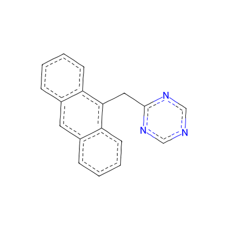 c1ccc2c(Cc3ncncn3)c3ccccc3cc2c1